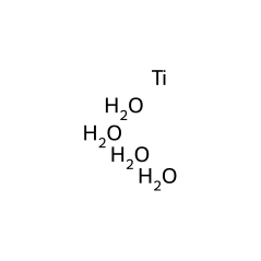 O.O.O.O.[Ti]